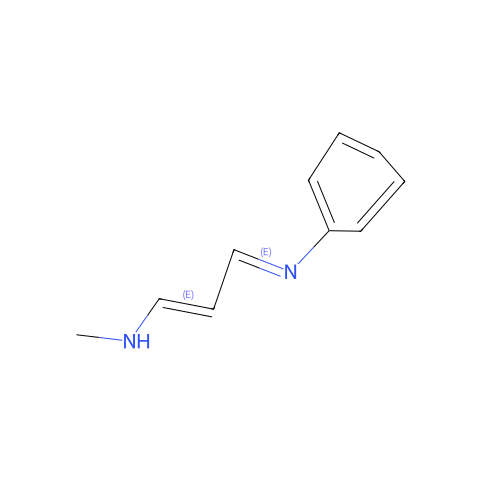 CN/C=C/C=N/c1ccccc1